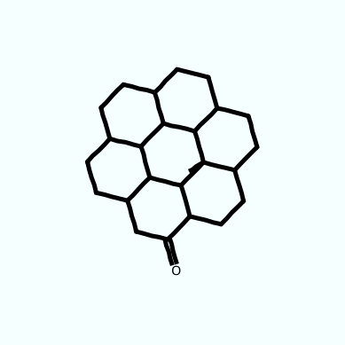 CC12C3CCC4CCC5CCC6CCC7CC(=O)C(CC3)C1C7C6C5C42